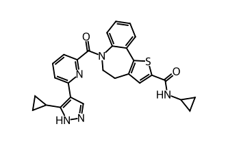 O=C(NC1CC1)c1cc2c(s1)-c1ccccc1N(C(=O)c1cccc(-c3cn[nH]c3C3CC3)n1)CC2